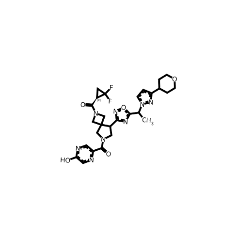 CC(c1nc(C2CN(C(=O)c3cnc(O)cn3)CC23CN(C(=O)[C@H]2CC2(F)F)C3)no1)n1ccc(C2CCOCC2)n1